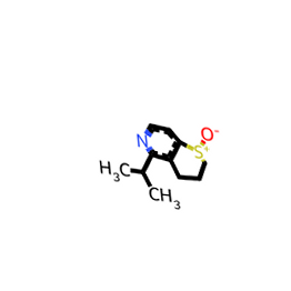 CC(C)c1nccc2c1CCC[S+]2[O-]